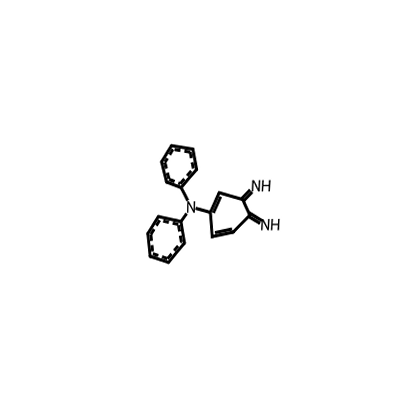 N=C1C=CC(N(c2ccccc2)c2ccccc2)=CC1=N